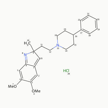 COc1cc2c(cc1OC)=NC(C)(CCN1CCC(c3ccccc3)CC1)C=2.Cl